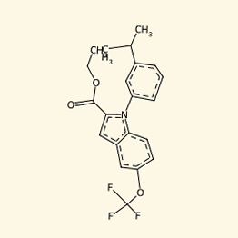 CCOC(=O)c1cc2cc(OC(F)(F)F)ccc2n1-c1cccc(C(C)C)c1